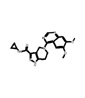 COc1cc2ncnc(N3CCc4[nH]nc(C(=O)NC5CC5)c4C3)c2cc1OC